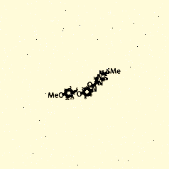 COc1ccc(COc2ccc3nc(-c4cn5nc(SC)sc5n4)oc3c2)cc1